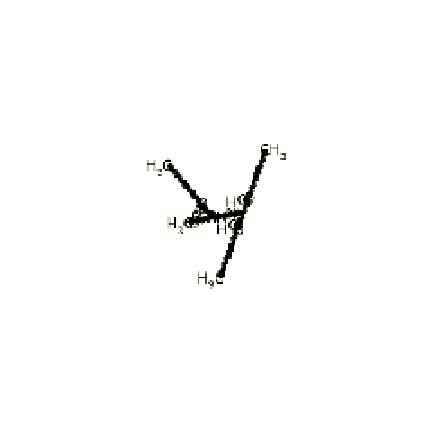 CCCCCCCCCCCCCCCOC(=O)CCCC(CCCC(=O)OCCCCCCCCCCCCCCC)CCNCCNCCN(CCCC(=O)OCC)CCCC(=O)OCCCCCCCCCCCCCCC